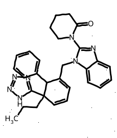 CCCC1(c2nnn[nH]2)C=CC=C(Cn2c(N3CCCCC3=O)nc3ccccc32)C1c1ccccc1